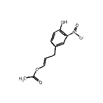 CC(=O)OC=CCc1ccc(O)c([N+](=O)[O-])c1